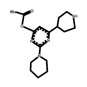 CC(C)(C)C(=O)Oc1cc(C2CCNCC2)nc(N2CCCCC2)n1